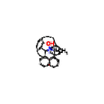 C[C@H](/N=C(\c1ccccc1)c1c2ccc(c1O)CCc1ccc(cc1)CCC2)c1ccccc1